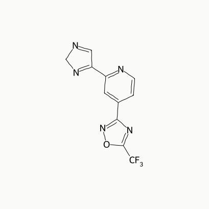 FC(F)(F)c1nc(-c2ccnc(C3=NCN=C3)c2)no1